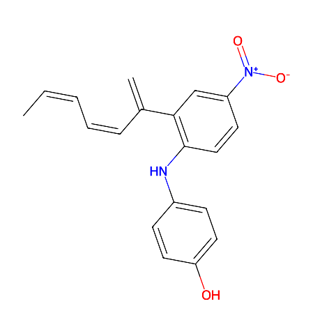 C=C(/C=C\C=C/C)c1cc([N+](=O)[O-])ccc1Nc1ccc(O)cc1